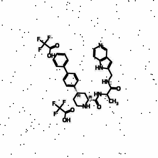 CC(NC(=O)[C@H]1C[C@@H](c2ccc(-c3ccccc3)cc2)CCN1)C(=O)NCc1cc2cnccc2[nH]1.O=C(O)C(F)(F)F.O=C(O)C(F)(F)F